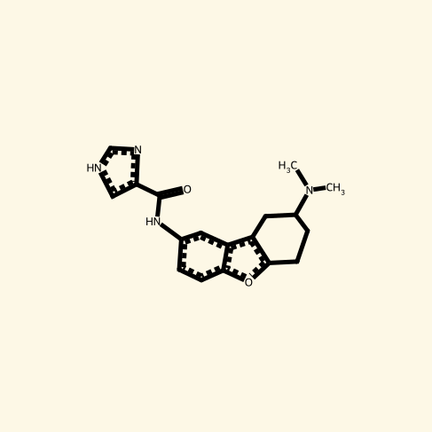 CN(C)C1CCc2oc3ccc(NC(=O)c4c[nH]cn4)cc3c2C1